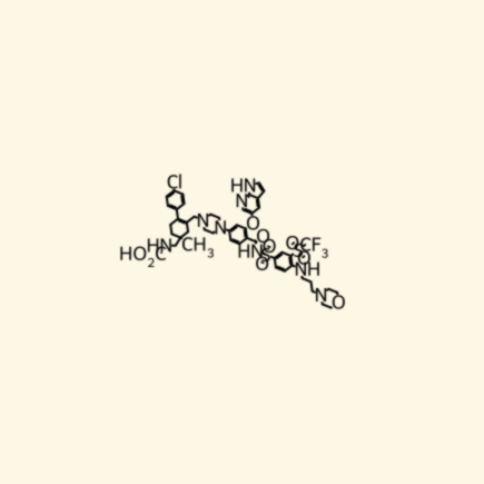 CC1(CNC(=O)O)CCC(c2ccc(Cl)cc2)=C(CN2CCN(c3ccc(C(=O)NS(=O)(=O)c4ccc(NCCCN5CCOCC5)c(S(=O)(=O)C(F)(F)F)c4)c(Oc4cnc5[nH]ccc5c4)c3)CC2)C1